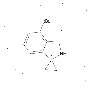 CC(C)(C)c1cccc2c1CNC21CC1